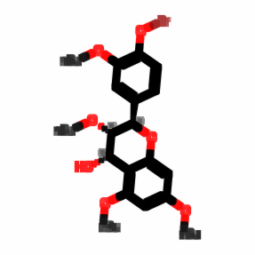 CCCCOc1cc(OCCCC)c2c(c1)O[C@H](c1ccc(OBr)c(OCCCC)c1)[C@@H](OCCCC)[C@H]2O